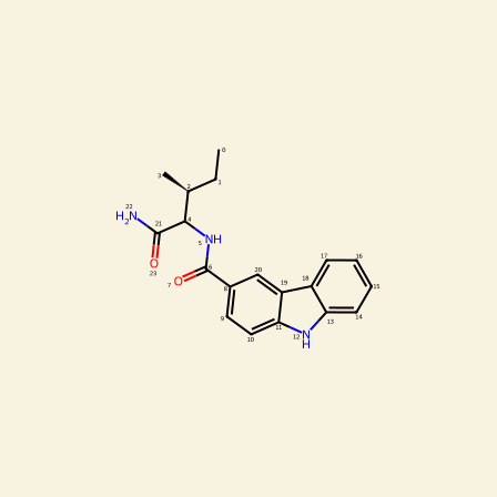 CC[C@H](C)C(NC(=O)c1ccc2[nH]c3ccccc3c2c1)C(N)=O